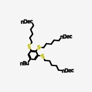 [CH2]CCCc1cc(SCCCCCCCCCCCCCCC)c(SCCCCCCCCCCCCCCC)c(SCCCCCCCCCCCCCCC)c1